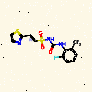 O=C(Nc1c(F)cccc1C(F)(F)F)NS(=O)(=O)/C=C/c1nccs1